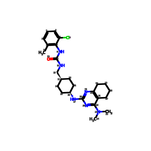 Cc1cccc(Cl)c1NC(=O)NC[C@H]1CC[C@@H](Nc2nc3c(c(N(C)C)n2)CCCC3)CC1